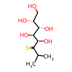 CC(C)C(=S)[C@H](O)[C@@H](O)[C@@H](O)[C@H](O)CO